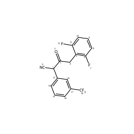 N#CC(C(=O)Cc1c(F)cccc1F)c1cccc(C(F)(F)F)c1